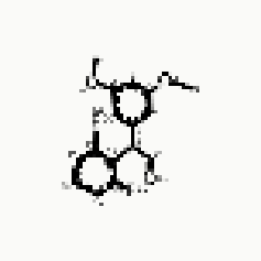 COc1cc(OC)cc(C(C=O)c2c(F)cccc2F)c1